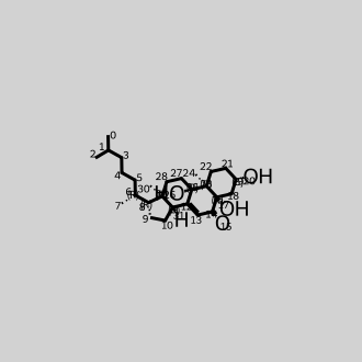 CC(C)CCC[C@@H](C)[C@H]1CC[C@H]2C3=CC(=O)[C@@]4(O)C[C@@H](O)CC[C@]4(C)[C@@]3(O)CC[C@]12C